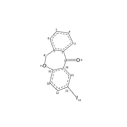 O=C1c2ccccc2COc2ccc(I)cc21